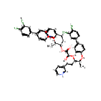 C[C@H](Oc1ccc(-c2ccc(Cl)c(Cl)c2)cc1)[C@@H](CCc1cccnc1)OC(=O)C(=O)O[C@H](CCc1cccnc1)[C@H](C)Oc1ccc(-c2ccc(Cl)c(Cl)c2)cc1